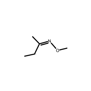 C[CH]/C(C)=N\OC